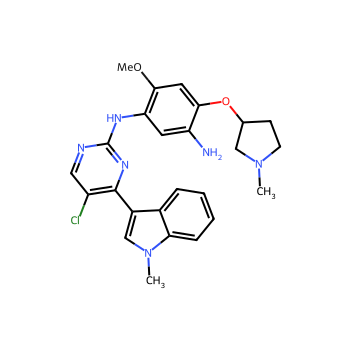 COc1cc(OC2CCN(C)C2)c(N)cc1Nc1ncc(Cl)c(-c2cn(C)c3ccccc23)n1